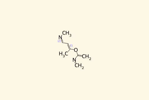 C=NC(=C)O/C(C)=C/C=N\C